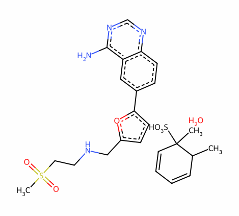 CC1C=CC=CC1(C)S(=O)(=O)O.CS(=O)(=O)CCNCc1ccc(-c2ccc3ncnc(N)c3c2)o1.O